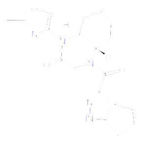 Cc1nc(N2C(=O)CN(C(=O)c3n[nH]c4c3CCC4)[C@H]3CCCC[C@@H]32)co1